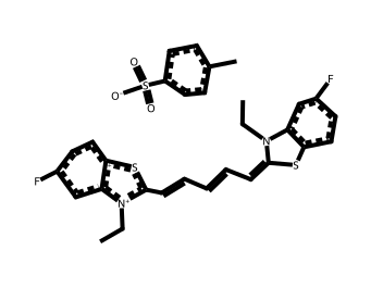 CCN1C(=CC=CC=Cc2sc3ccc(F)cc3[n+]2CC)Sc2ccc(F)cc21.Cc1ccc(S(=O)(=O)[O-])cc1